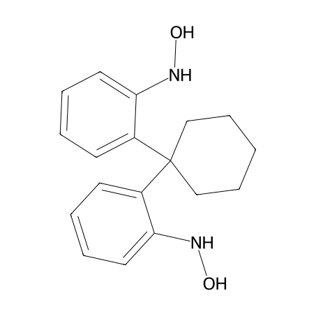 ONc1ccccc1C1(c2ccccc2NO)CCCCC1